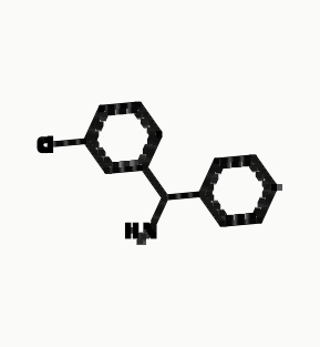 NC(c1cc[c]cc1)c1cccc(Cl)c1